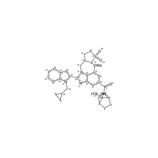 BC1(N)C2CCC1N(C(=O)c1cc(OC)c3c(c1)nc(-c1cc4ccccc4n1CC1CC1)n3CC1CCS(=O)(=O)C1)C2